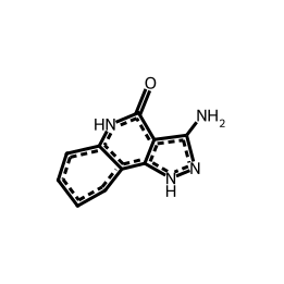 Nc1n[nH]c2c1c(=O)[nH]c1ccccc12